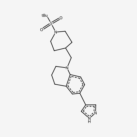 CC(C)(C)S(=O)(=O)N1CCC(CN2CCCc3cc(-c4cn[nH]c4)ccc32)CC1